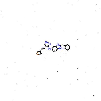 C(=C\c1cncnc1Nc1ccc2[nH]c(Cc3ccccc3)nc2c1)/c1ccsc1